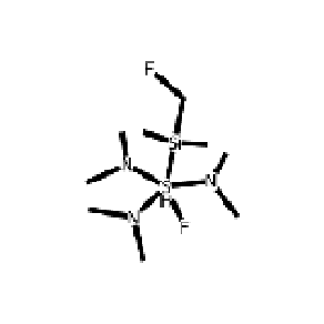 CN(C)[SH](F)(N(C)C)(N(C)C)[Si](C)(C)CF